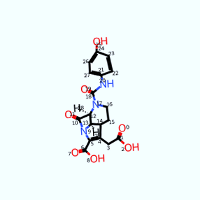 O=C(O)CC1=C(C(=O)O)N2C(=O)[C@@H]3[C@H]2C1CCN3C(=O)Nc1ccc(O)cc1